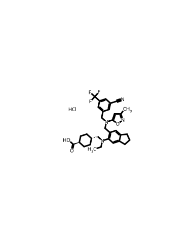 CCN(C[C@H]1CC[C@H](C(=O)O)CC1)c1cc2c(cc1CN(Cc1cc(C#N)cc(C(F)(F)F)c1)c1cc(C)no1)CCC2.Cl